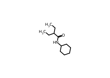 CCC(CC)C(=O)NC1CCCCC1